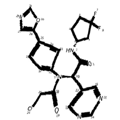 O=C(N[C@@H]1CCC(F)(F)C1)[C@@H](c1cncnc1)N(C(=O)CCl)c1ccc(-c2cnco2)cc1